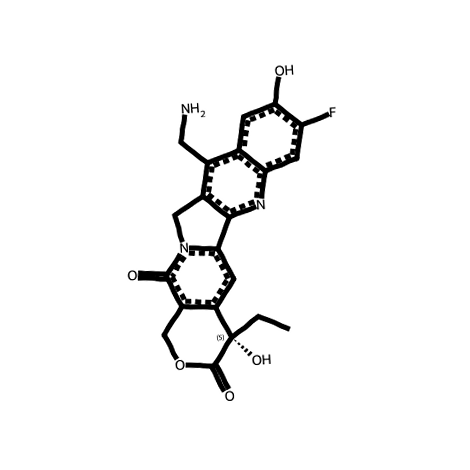 CC[C@@]1(O)C(=O)OCc2c1cc1n(c2=O)Cc2c-1nc1cc(F)c(O)cc1c2CN